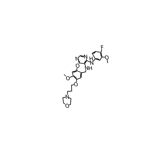 COc1cc(Nc2ncnc3c2NCc2cc(OCCCN4CCOCC4)c(OC)cc2O3)ccc1F